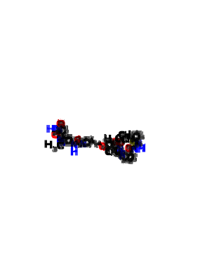 Cc1c(OCC[C@H]2CC23CCN(CC(=O)Nc2ccc4c(C5CCC(=O)NC5=O)nn(C)c4c2)CC3)cccc1-c1ccc(N2CCc3cccc(C(=O)Nc4nc5ccccc5s4)c3C2)nc1C(=O)OC(C)(C)C